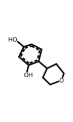 Oc1ccc(C2CCOCC2)c(O)c1